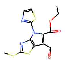 CCOC(=O)c1c(C=O)c2sc(SC)nc2n1-c1nccs1